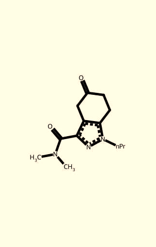 CCCn1nc(C(=O)N(C)C)c2c1CCC(=O)C2